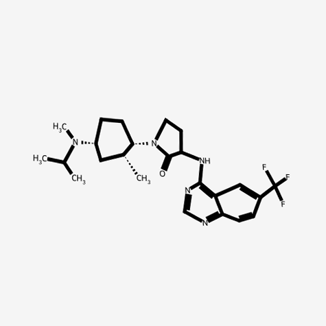 CC(C)N(C)[C@@H]1CC[C@H](N2CCC(Nc3ncnc4ccc(C(F)(F)F)cc34)C2=O)[C@H](C)C1